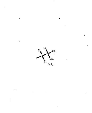 CCCCC(CC)(CC)C(I)(CC)CC.N